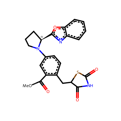 COC(=O)c1cc(N2CCC[C@H]2c2nc3ccccc3o2)ccc1CC1SC(=O)NC1=O